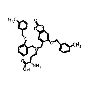 Cc1cccc(COc2ccccc2CN(CC[C@H](N)C(=O)O)Cc2cc3oc(=O)sc3cc2OCc2cccc(C)c2)c1